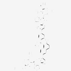 COC(=O)N[C@H](C(=O)N1CCC[C@H]1c1ncc(-c2ccc3c(c2)Oc2ccc4cc(-c5cnc([C@@H]6CCCN6C(=O)[C@@H](NC(=O)OC)C(C)C)[nH]5)ccc4c2C3(C)C)[nH]1)C(C)C